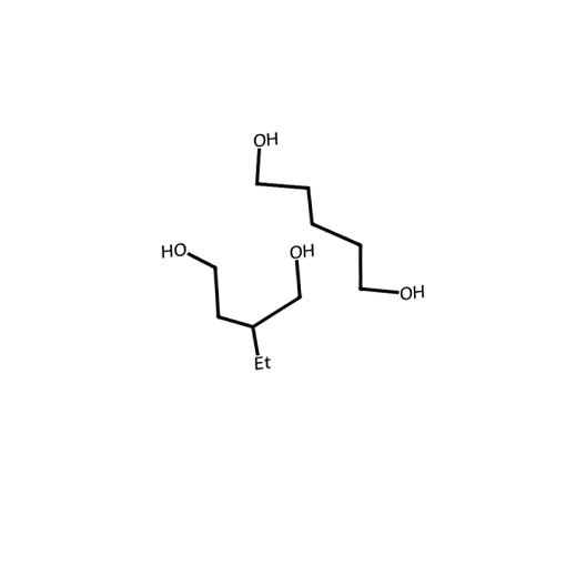 CCC(CO)CCO.OCCCCCO